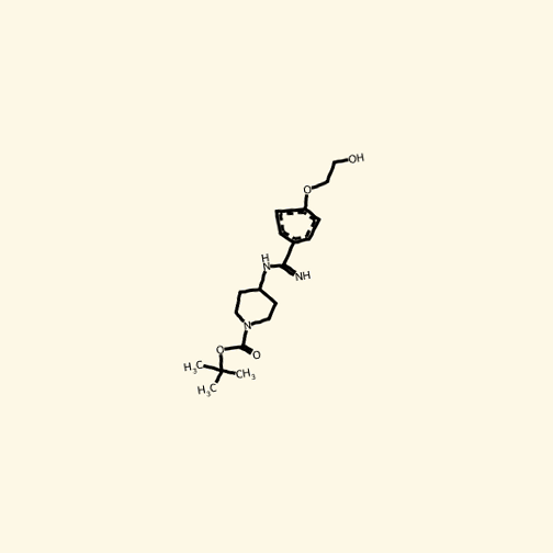 CC(C)(C)OC(=O)N1CCC(NC(=N)c2ccc(OCCO)cc2)CC1